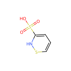 O=S(=O)(O)C1=CC=CSN1